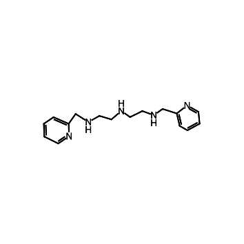 c1ccc(CNCCNCCNCc2ccccn2)nc1